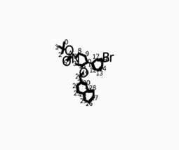 CC(C)(C)OC(=O)N1CC[C@H](c2cccc(Br)c2)[C@@H](OCc2ccc3ccccc3c2)C1